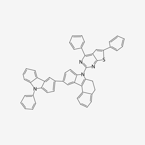 c1ccc(-c2cc3c(-c4ccccc4)nc(-n4c5c(c6cc(-c7ccc8c(c7)c7ccccc7n8-c7ccccc7)ccc64)-c4ccccc4CC5)nc3s2)cc1